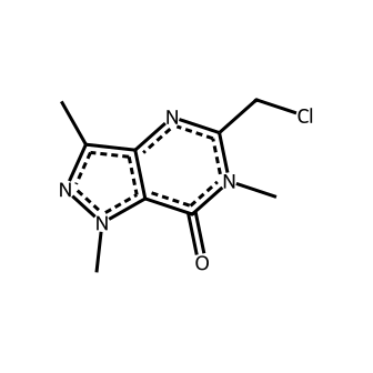 Cc1nn(C)c2c(=O)n(C)c(CCl)nc12